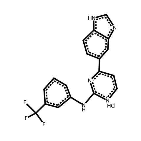 Cl.FC(F)(F)c1cccc(Nc2nccc(-c3ccc4[nH]cnc4c3)n2)c1